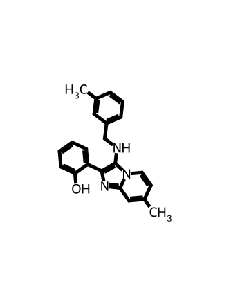 Cc1cccc(CNc2c(-c3ccccc3O)nc3cc(C)ccn23)c1